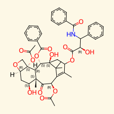 CC(=O)O[C@H]1C(=O)[C@@]2(C)[C@H]([C@H](OC(=O)c3ccccc3)[C@]3(O)CC(OC(=O)[C@H](O)C(NC(=O)c4ccccc4)c4ccccc4)C(C)=C1C3(C)C)[C@]1(OC(C)=O)CO[C@@H]1C[C@@H]2O